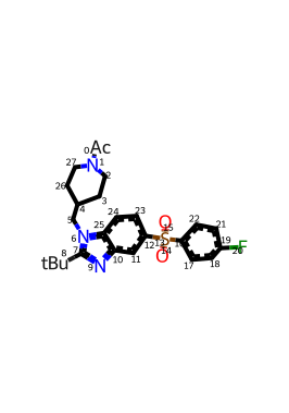 CC(=O)N1CCC(Cn2c(C(C)(C)C)nc3cc(S(=O)(=O)c4ccc(F)cc4)ccc32)CC1